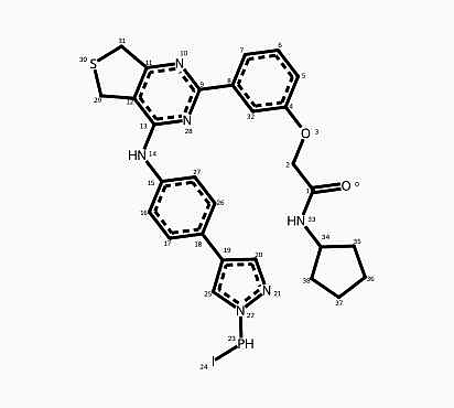 O=C(COc1cccc(-c2nc3c(c(Nc4ccc(-c5cnn(PI)c5)cc4)n2)CSC3)c1)NC1CCCC1